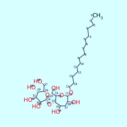 CCCCCCCCCCCCCCCCO[C@@H]1OC(CO)[C@@H](O[C@H]2OC(CO)[C@@H](O)C(O)C2O)C(O)CC1O